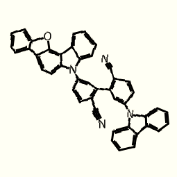 N#Cc1ccc(-n2c3ccccc3c3ccccc32)cc1-c1cc(-n2c3ccccc3c3c4oc5ccccc5c4ccc32)ccc1C#N